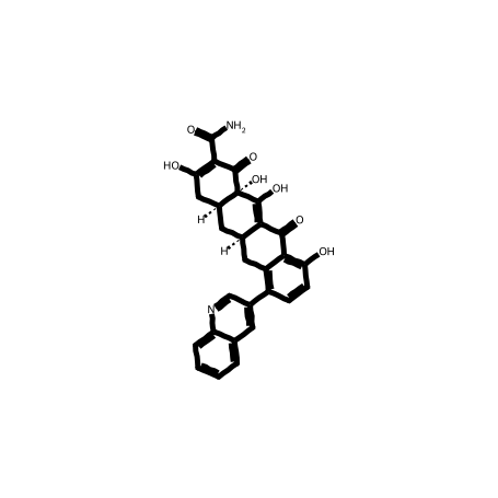 NC(=O)C1=C(O)C[C@@H]2C[C@@H]3Cc4c(-c5cnc6ccccc6c5)ccc(O)c4C(=O)C3=C(O)[C@]2(O)C1=O